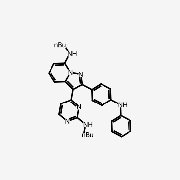 CCCCNc1nccc(-c2c(-c3ccc(Nc4ccccc4)cc3)nn3c(NCCCC)cccc23)n1